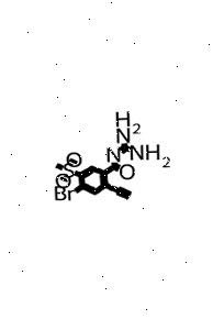 C#Cc1cc(Br)c(S(C)(=O)=O)cc1C(=O)N=C(N)N